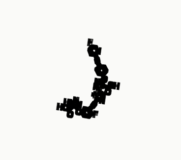 Cn1c(C#Cc2cc(Oc3nn[nH]c3C(=O)O)ccc2F)nnc1-n1nnc(Oc2ccc(C#Cc3ccc(F)cn3)cc2)c1C(=O)O